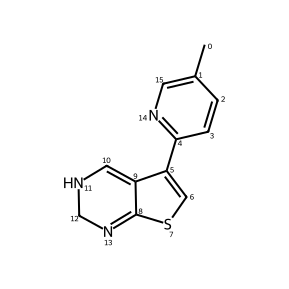 Cc1ccc(-c2csc3c2=CNCN=3)nc1